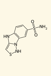 NS(=O)(=O)c1ccc2c(c1)N1NSC=C1N2